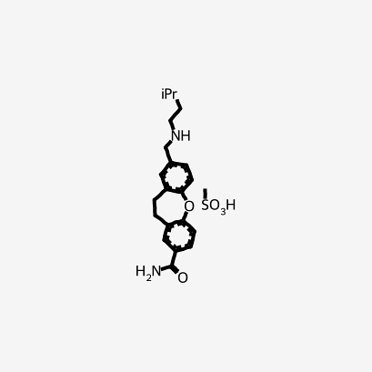 CC(C)CCNCc1ccc2c(c1)CCc1cc(C(N)=O)ccc1O2.CS(=O)(=O)O